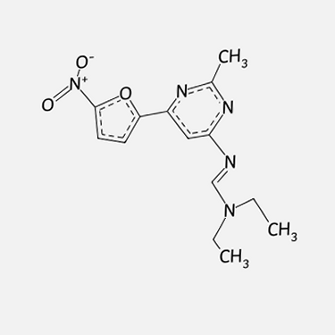 CCN(C=Nc1cc(-c2ccc([N+](=O)[O-])o2)nc(C)n1)CC